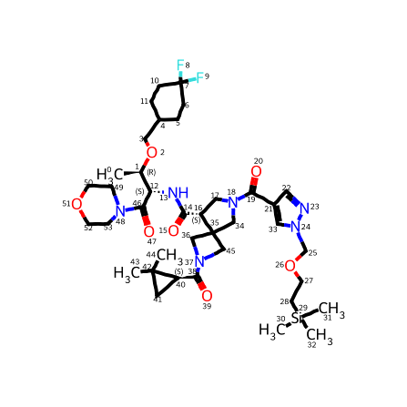 C[C@@H](OCC1CCC(F)(F)CC1)[C@H](NC(=O)[C@@H]1CN(C(=O)c2cnn(COCC[Si](C)(C)C)c2)CC12CN(C(=O)[C@H]1CC1(C)C)C2)C(=O)N1CCOCC1